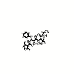 Cc1noc(C)c1C(=O)N[C@@H](Cc1ccccc1)[C@H](O)C(=O)N1CSC(C)(C)[C@H]1C(=O)NCC#N